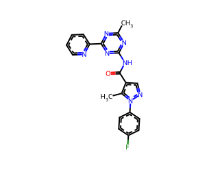 Cc1nc(NC(=O)c2cnn(-c3ccc(F)cc3)c2C)nc(-c2ccccn2)n1